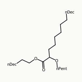 CCCCCCCCCCCCCCCCC(OCCCCC)C(=O)OCCCCCCCCCCCC